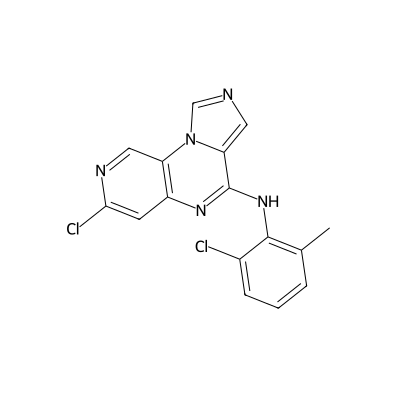 Cc1cccc(Cl)c1Nc1nc2cc(Cl)ncc2n2cncc12